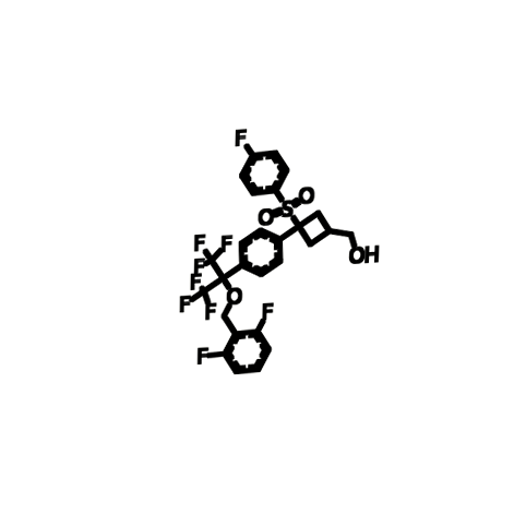 O=S(=O)(c1ccc(F)cc1)C1(c2ccc(C(OCc3c(F)cccc3F)(C(F)(F)F)C(F)(F)F)cc2)CC(CO)C1